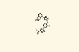 Fc1cc(-c2nnc(C(F)F)o2)ccc1Cn1cc(-c2cccc3c2CNC3)nn1